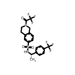 C[C@H](NS(=O)(=O)c1ccc2c(c1)CCN(C(=O)C(F)(F)F)C2)c1ccc(C(F)(F)F)cc1